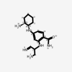 N=CC(CN)Nc1cc(N[C@@H]2CCCC[C@@H]2N)ccc1C(N)=O